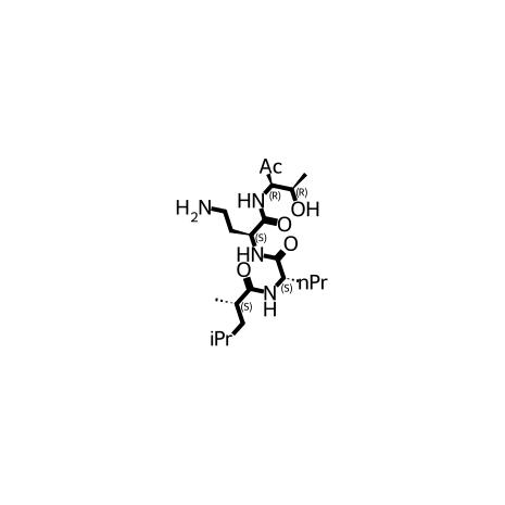 CCC[C@H](NC(=O)[C@@H](C)CC(C)C)C(=O)N[C@@H](CCN)C(=O)N[C@@H](C(C)=O)[C@@H](C)O